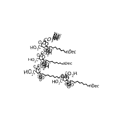 CCCCCCCCCCCCCCCCCCN(C(=O)CC(C(=O)O)C(=O)OC(=O)O)S(=O)(=O)[O-].CCCCCCCCCCCCCCCCCCN(C(=O)CC(C(=O)O)C(=O)OC(=O)O)S(=O)(=O)[O-].CCCCCCCCCCCCCCCCCCN(C(=O)CC(C(=O)O)C(=O)OC(=O)O)S(=O)(=O)[O-].CCCCCCCCCCCCCCCCCCN(C(=O)CC(C(=O)O)C(=O)OC(=O)O)S(=O)(=O)[O-].[Na+].[Na+].[Na+].[Na+]